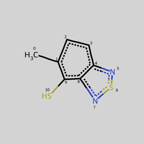 Cc1ccc2nsnc2c1S